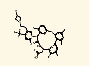 Cc1cc2cc(c1F)[C@@H](CC(=O)O)NC(=O)[C@@H](n1cc(CCN3CC(F)C3)c(C(F)(F)F)cc1=O)c1cc(ccc1F)Oc1cc(F)cc(C)c1-2